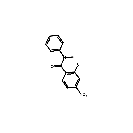 CN(C(=O)c1ccc([N+](=O)[O-])cc1Cl)c1ccccc1